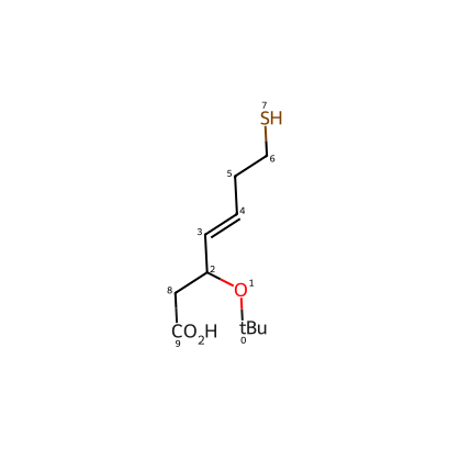 CC(C)(C)OC(/C=C/CCS)CC(=O)O